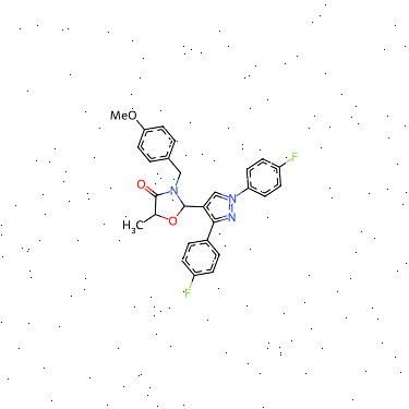 COc1ccc(CN2C(=O)C(C)OC2c2cn(-c3ccc(F)cc3)nc2-c2ccc(F)cc2)cc1